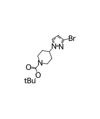 CC(C)(C)OC(=O)N1CCC(n2ccc(Br)n2)CC1